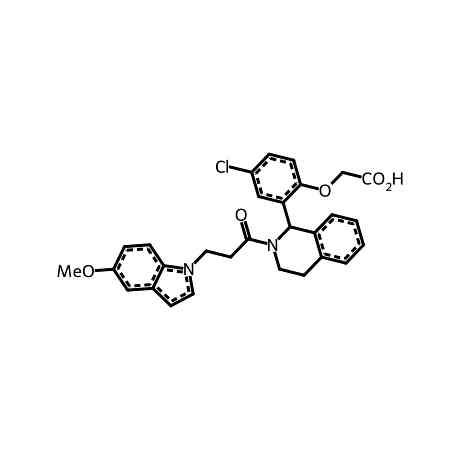 COc1ccc2c(ccn2CCC(=O)N2CCc3ccccc3C2c2cc(Cl)ccc2OCC(=O)O)c1